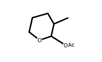 CC(=O)OC1OCCCC1C